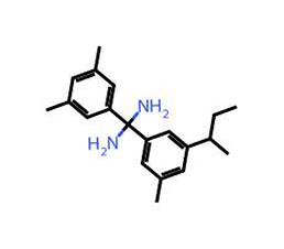 CCC(C)c1cc(C)cc(C(N)(N)c2cc(C)cc(C)c2)c1